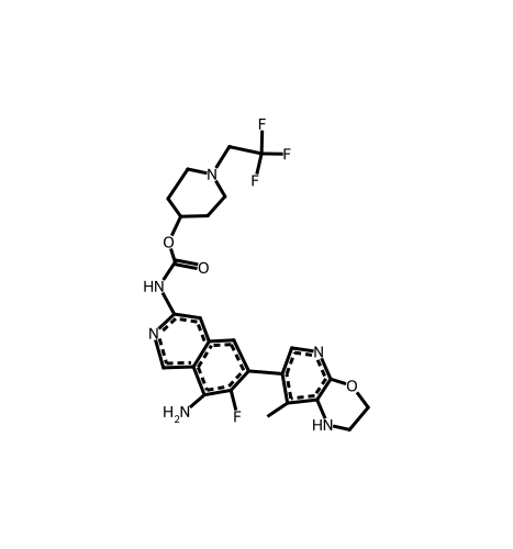 Cc1c(-c2cc3cc(NC(=O)OC4CCN(CC(F)(F)F)CC4)ncc3c(N)c2F)cnc2c1NCCO2